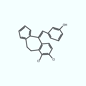 Oc1cccc(/C=C2/c3ccccc3CCc3c2ccc(Cl)c3Cl)c1